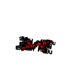 CC(C)(C)OC(=O)NCCCCC(NC(=O)OC(C)(C)C)C(=O)NCCCN(CCCNC(=O)[C@H](CCCCNC(=O)OC(C)(C)C)NC(=O)OC(C)(C)C)C(=O)c1ccc(SSc2ccc(C(=O)N(CCCNC(=O)[C@H](CCCCNC(=O)OC(C)(C)C)NC(=O)OC(C)(C)C)CCCNC(O)[C@H](CCCCNC(=O)OC(C)(C)C)NC(=O)OC(C)(C)C)cn2)nc1